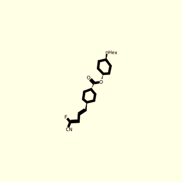 CCCCCC[C@H]1CC[C@H](OC(=O)[C@H]2CC[C@H](C=CC=C(F)C#N)CC2)CC1